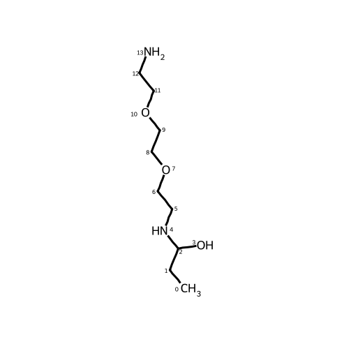 CCC(O)NCCOCCOCCN